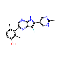 Cc1ncc(-c2[nH]c3ncc(-c4c(C)ccc(O)c4C)nc3c2F)cn1